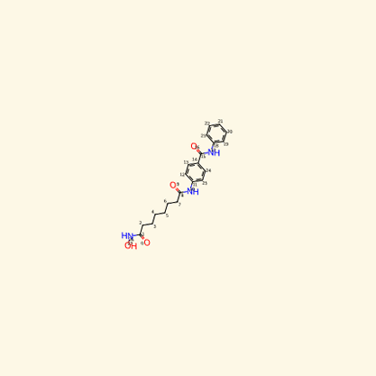 O=C(CCCCCCC(=O)Nc1ccc(C(=O)Nc2ccccc2)cc1)NO